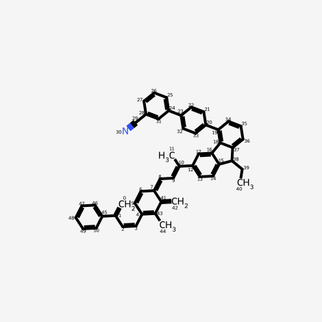 C=C(/C=C\c1cc/c(=C/C=C(\C)c2ccc3c(c2)-c2c(-c4ccc(-c5cccc(C#N)c5)cc4)cccc2C3CC)c(=C)c1C)c1ccccc1